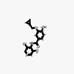 O=C(Nc1c(Cl)cncc1Cl)c1ccc(O)c(OCC2CC2)c1